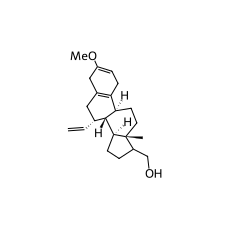 C=C[C@@H]1CC2=C(CC=C(OC)C2)[C@H]2CC[C@]3(C)C(CO)CC[C@H]3[C@H]12